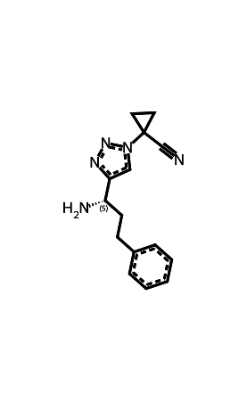 N#CC1(n2cc([C@@H](N)CCc3ccccc3)nn2)CC1